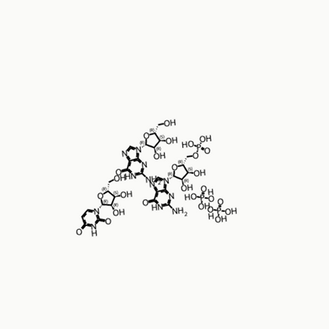 Nc1nc2c(ncn2[C@@H]2O[C@H](CO)[C@@H](O)[C@H]2O)c(=O)[nH]1.Nc1nc2c(ncn2[C@@H]2O[C@H](COP(=O)(O)O)[C@@H](O)[C@H]2O)c(=O)[nH]1.O=P(O)(O)O.O=P(O)(O)O.O=c1ccn([C@@H]2O[C@H](CO)[C@@H](O)[C@H]2O)c(=O)[nH]1